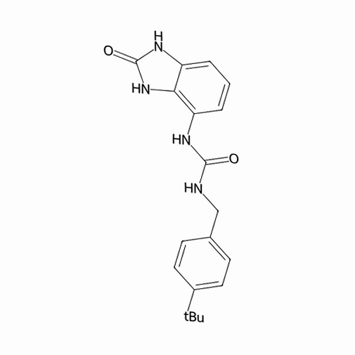 CC(C)(C)c1ccc(CNC(=O)Nc2cccc3[nH]c(=O)[nH]c23)cc1